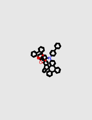 c1ccc(-c2ccc(N(c3ccc4c(c3)-c3ccccc3-c3ccccc3O4)c3ccc4c(c3)C3(c5ccccc5-c5ccccc5-4)c4ccccc4-c4c3ccc3c4oc4ccccc43)cc2)cc1